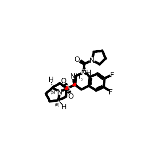 NC(Cc1cc(F)c(F)cc1F)[C@@H]1C[C@H]2CC[C@@H](C1)N2S(=O)(=O)CCNC(=O)N1CCCC1